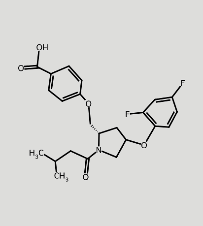 CC(C)CC(=O)N1CC(Oc2ccc(F)cc2F)C[C@H]1COc1ccc(C(=O)O)cc1